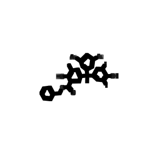 CC(=O)c1cc(C(C)=O)cc(C(C)(c2cc(I)c(O)c(I)c2)c2cc(C)c(O)c(C(=O)OCc3ccccc3)c2)c1